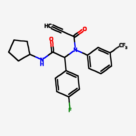 C#CC(=O)N(c1cccc(C(F)(F)F)c1)C(C(=O)NC1CCCC1)c1ccc(F)cc1